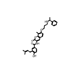 CC(C)=CCc1cc(C(=O)Nc2cc3ccc(OCCCNC(C)c4ccccc4)c(C)c3oc2=O)ccc1O